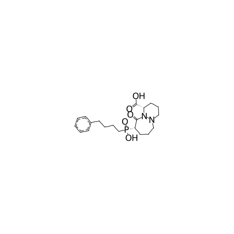 O=C(O)[C@@H]1CCCN2CCC[C@H](P(=O)(O)CCCCc3ccccc3)C(=O)N12